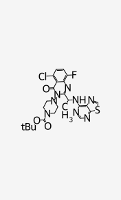 C[C@H](Nc1ncnc2scnc12)c1nc2c(F)ccc(Cl)c2c(=O)n1N1CCN(C(=O)OC(C)(C)C)CC1